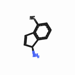 N#Cc1cccc2c1C=C[C@@H]2N